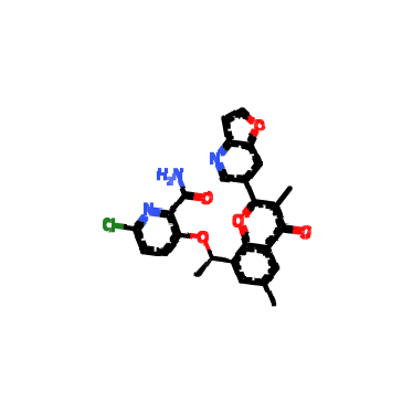 Cc1cc([C@@H](C)Oc2ccc(Cl)nc2C(N)=O)c2oc(-c3cnc4ccoc4c3)c(C)c(=O)c2c1